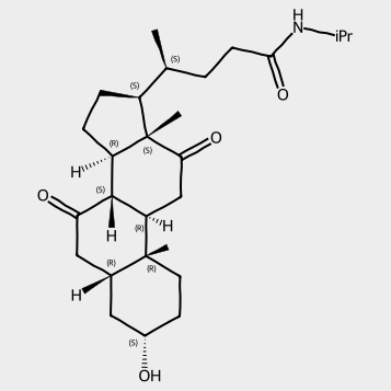 CC(C)NC(=O)CC[C@H](C)[C@@H]1CC[C@@H]2[C@H]3C(=O)C[C@H]4C[C@@H](O)CC[C@@]4(C)[C@@H]3CC(=O)[C@]21C